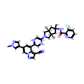 Cn1cc(-c2cc(-c3cnc(N4C[C@@H]5CC(C)(NC(=O)c6ncccc6F)C[C@@H]5C4)cn3)c3c(C#N)cnn3c2)cn1